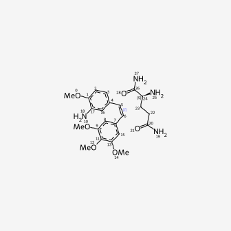 COc1ccc(/C=C\c2cc(OC)c(OC)c(OC)c2)cc1N.NC(=O)CC[C@H](N)C(N)=O